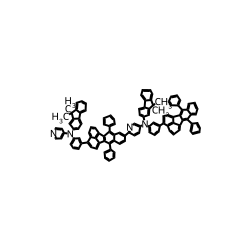 CC1(C)c2ccccc2-c2ccc(N(c3ccncc3)c3cccc(-c4ccc5c6c(cccc46)-c4c-5c(-c5ccccc5)c5ccc(-c6ccc(N(c7cccc(-c8ccc9c%10c(cccc8%10)-c8c-9c(-c9ccccc9)c9ccccc9c8-c8ccccc8)c7)c7ccc8c(c7)C(C)(C)c7ccccc7-8)cn6)cc5c4-c4ccccc4)c3)cc21